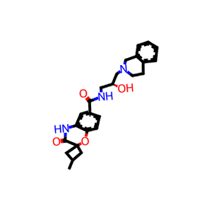 CC1CC2(C1)Oc1ccc(C(=O)NC[C@H](O)CN3CCc4ccccc4C3)cc1NC2=O